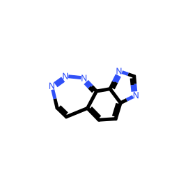 c1cc2ccc3ncnc3c2nnn1